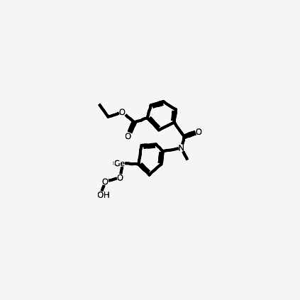 CCOC(=O)c1cccc(C(=O)N(C)c2cc[c]([Ge][O]OO)cc2)c1